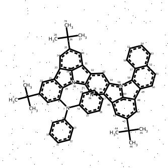 CC(C)(C)c1cc(N(c2ccccc2)c2ccccc2)c2c(c1)c1cc(C(C)(C)C)cc3c4cc5c(nc4n2c31)c1cc(C(C)(C)C)cc2c3ccc4ccccc4c3n5c21